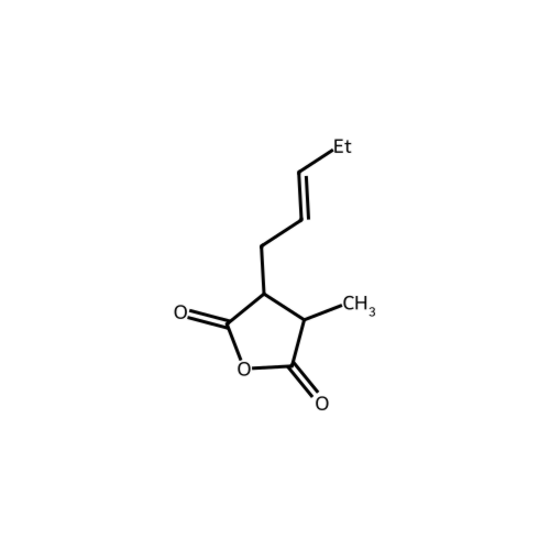 CCC=CCC1C(=O)OC(=O)C1C